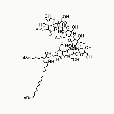 CCCCCCCCCCCCC/C=C/[C@@H](O)[C@H](CO[C@@H]1OC(CO)[C@@H](O[C@@H]2OC(CO)[C@H](O[C@@H]3OC(CO)[C@H](O)[C@H](O)C3NC(C)=O)[C@H](O[C@H]3OC(CO)[C@H](O)[C@H](O[C@@H]4OC(CO)[C@@H](O[C@@H]5OC(CO)[C@H](O)[C@H](O[C@]6(C(=O)O)CC(O)[C@@H](NC(C)=O)C([C@H](O)[C@H](O)CO)O6)C5O)[C@H](O)C4NC(C)=O)C3O)C2O)[C@H](O)C1O)NC(=O)CCCCCCCCCCCCCCCCCCCCCCC